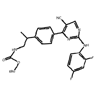 CC(CNC(=O)OC(C)(C)C)c1ccc(-c2nc(Nc3ccc(F)cc3F)ncc2C#N)cc1